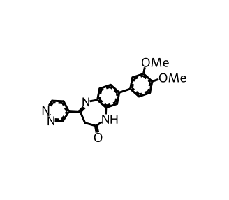 COc1ccc(-c2ccc3c(c2)NC(=O)CC(c2ccnnc2)=N3)cc1OC